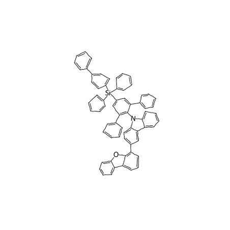 c1ccc(-c2ccc([Si](c3ccccc3)(c3ccccc3)c3cc(-c4ccccc4)c(-n4c5ccccc5c5cc(-c6cccc7c6oc6ccccc67)ccc54)c(-c4ccccc4)c3)cc2)cc1